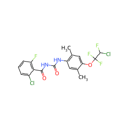 Cc1cc(OC(F)(F)C(F)Cl)c(C)cc1NC(=O)NC(=O)c1c(F)cccc1Cl